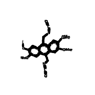 COc1cc2c(CN=C=O)c3cc(OC)c(OI)cc3c(CN=C=O)c2cc1OC